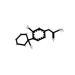 NC(=O)Cc1ccc(C2(Cl)CCCCC2)c(Cl)c1